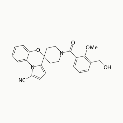 COc1c(CO)cccc1C(=O)N1CCC2(CC1)Oc1ccccc1-n1c(C#N)ccc12